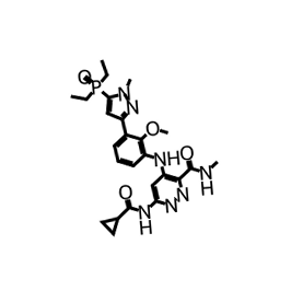 CCP(=O)(CC)c1cc(-c2cccc(Nc3cc(NC(=O)C4CC4)nnc3C(=O)NC)c2OC)nn1C